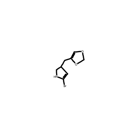 BrC1=CC(CC2=COCO2)CN1